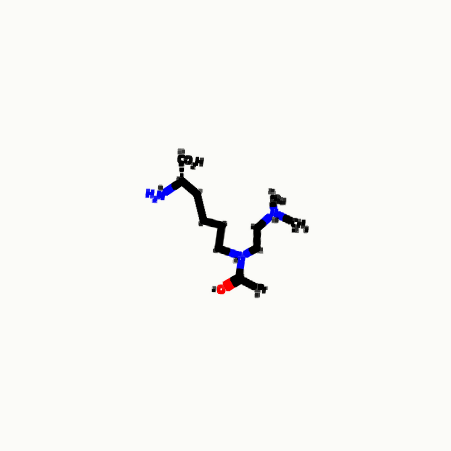 CC(C)C(=O)N(CCCC[C@H](N)C(=O)O)CCN(C)C(C)(C)C